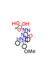 C=C1O[C@@H](n2cnc3c(=O)[nH]c(NC(c4ccccc4)(c4ccccc4)c4ccc(OC)cc4)nc32)[C@@H](O)[C@@H]1O